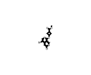 COC(=O)C1CC(Oc2ncc(Br)c3cc(Cl)ncc23)C1